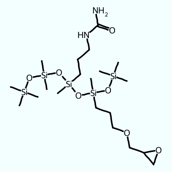 C[Si](C)(C)O[Si](C)(C)O[Si](C)(CCCNC(N)=O)O[Si](C)(CCCOCC1CO1)O[Si](C)(C)C